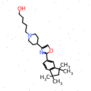 CC1(C)CC(C)(C)c2cc(-c3nc(C4CCN(CCCCCO)CC4)co3)ccc21